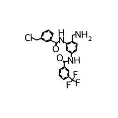 NCc1ccc(NC(=O)c2cccc(C(F)(F)F)c2)cc1NC(=O)c1cccc(CCl)c1